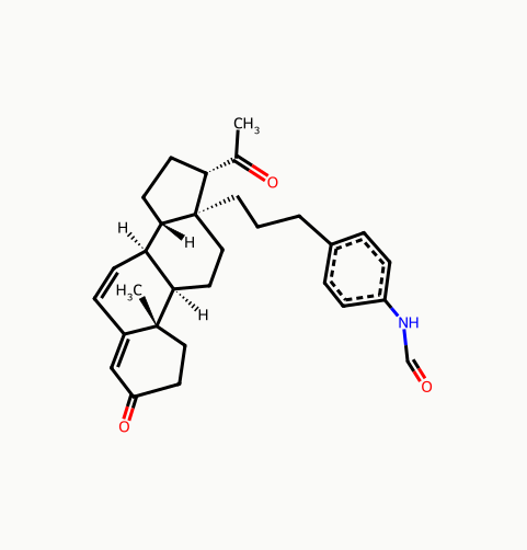 CC(=O)[C@H]1CC[C@H]2[C@@H]3C=CC4=CC(=O)CC[C@@]4(C)[C@@H]3CC[C@]12CCCc1ccc(NC=O)cc1